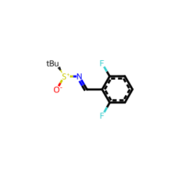 CC(C)(C)[S@+]([O-])/N=C/c1c(F)cccc1F